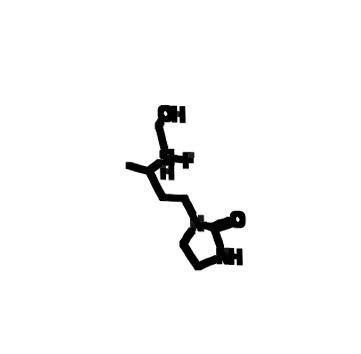 CC(CCN1CCNC1=O)[SiH](F)CO